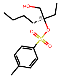 CCCC[C@@](CC)(CO)OS(=O)(=O)c1ccc(C)cc1